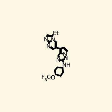 CCc1cnc2ncc(-c3ccn4nc(N[C@H]5CC[C@@H](OC(F)(F)F)CC5)ncc34)cn12